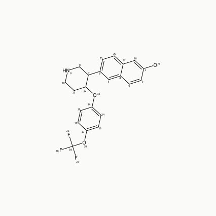 [O]c1ccc2cc(C3CNCCC3Oc3ccc(OC(F)(F)F)cc3)ccc2c1